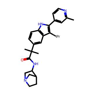 Cc1cc(-c2[nH]c3ccc(C(C)(C)C(=O)NC4CN5CCC4C5)cc3c2C(C)C)ccn1